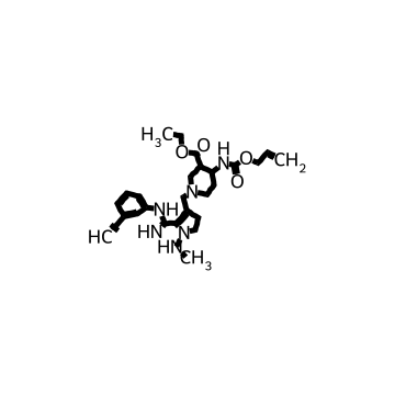 C#Cc1cccc(NC(=N)C2=C(CN3CCC(NC(=O)OCC=C)C(C(=O)OCC)C3)CCN2NC)c1